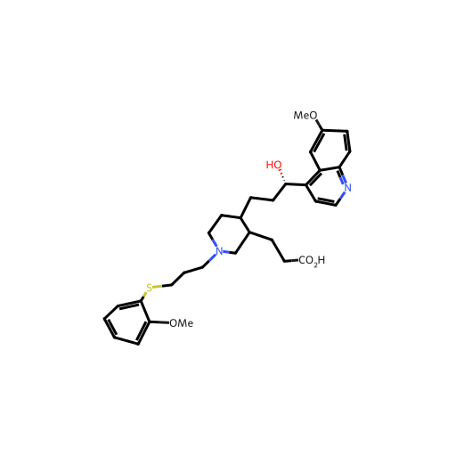 COc1ccc2nccc([C@@H](O)CCC3CCN(CCCSc4ccccc4OC)CC3CCC(=O)O)c2c1